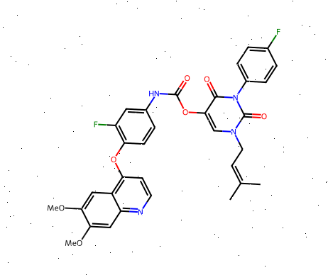 COc1cc2nccc(Oc3ccc(NC(=O)Oc4cn(CC=C(C)C)c(=O)n(-c5ccc(F)cc5)c4=O)cc3F)c2cc1OC